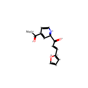 COC(=O)c1ccnc(C(=O)/C=C/c2ccco2)c1